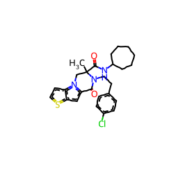 CC1(C(=O)NC2CCCCCC2)Cn2c(cc3sccc32)C(=O)N1CCc1ccc(Cl)cc1